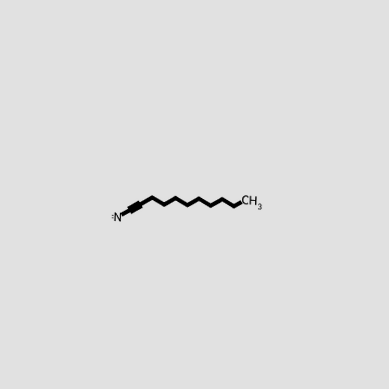 CCCCCCCCCC#C[N]